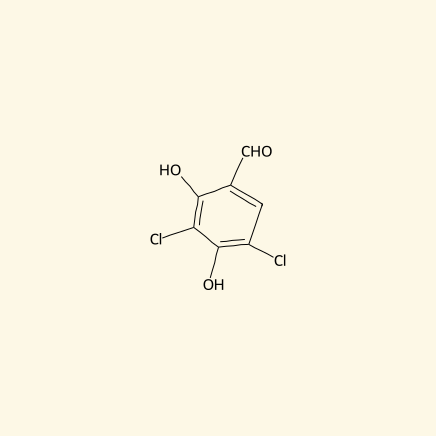 O=Cc1cc(Cl)c(O)c(Cl)c1O